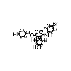 Cl.O=C(OCC1CCNCC1)[C@H]1[C@H](C(=O)Nc2ccc(Br)nc2)[C@@H]2CC[C@H]1C21CC1